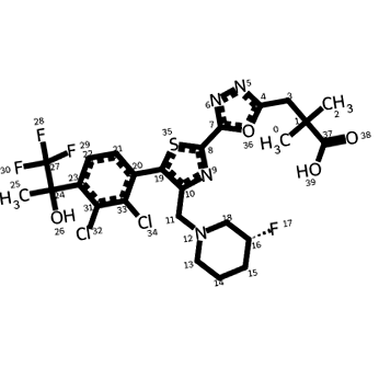 CC(C)(Cc1nnc(-c2nc(CN3CCC[C@@H](F)C3)c(-c3ccc(C(C)(O)C(F)(F)F)c(Cl)c3Cl)s2)o1)C(=O)O